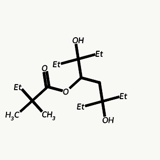 CCC(O)(CC)CC(OC(=O)C(C)(C)CC)C(O)(CC)CC